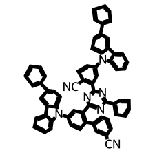 N#Cc1cccc(-c2ccc(-n3c4ccccc4c4cc(-c5ccccc5)ccc43)cc2-c2nc(-c3ccccc3)nc(-c3cc(-n4c5ccccc5c5cc(-c6ccccc6)ccc54)ccc3C#N)n2)c1